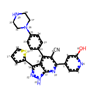 N#Cc1c(-c2ccnc(O)c2)nc2[nH]nc(-c3cccs3)c2c1-c1ccc(N2CCNCC2)cc1